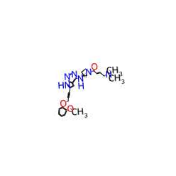 COc1ccccc1OCC#Cc1cc2c(N[C@@H]3CCN(C(=O)C=CCN(C)C)C3)ncnc2[nH]1